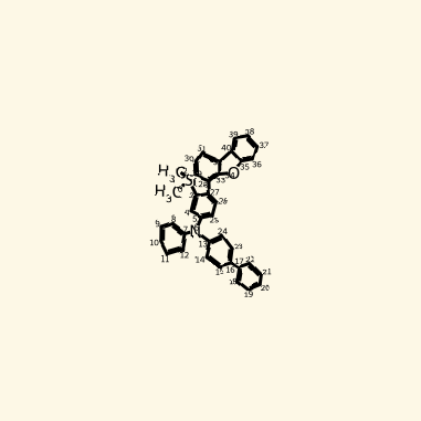 C[Si]1(C)c2cc(N(c3ccccc3)c3ccc(-c4ccccc4)cc3)ccc2-c2c1ccc1c2oc2ccccc21